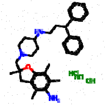 Cc1c(C)c2c(c(C)c1N)CC(C)(CN1CCC(NCCC(c3ccccc3)c3ccccc3)CC1)O2.Cl.Cl.Cl